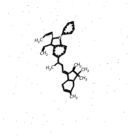 C=CC1c2cc(C(C)C/C=C3\C(=C)C(C)(C)C4CC(C)=CCC34)ccc2N(c2ccccc2)[C@@H]1/C=C\C